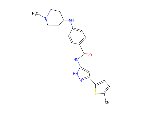 CN1CCC(Nc2ccc(C(=O)Nc3cc(-c4ccc(C#N)s4)n[nH]3)cc2)CC1